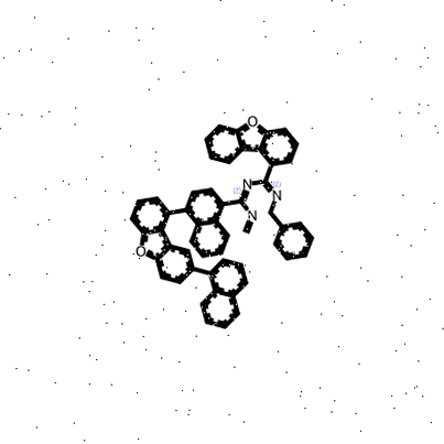 C=N/C(=N\C(=N/Cc1ccccc1)c1cccc2oc3ccccc3c12)c1ccc(-c2cccc3oc4ccc(-c5cccc6ccccc56)cc4c23)c2ccccc12